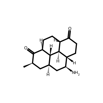 C[C@@H]1C[C@@H]2C[C@H](N)[C@H]3CCC(=O)[C@H]4CC[C@H](C1=O)[C@@H]2[C@H]34